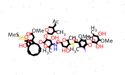 COC(=O)CC1=C2/C(=C/CSSSC)[C@](O)(C#C/C=C\C#C[C@@H]2OC2OC(C)C(NOC3CC(O)C(SC(=O)c4c(C)c(I)c(OC5OC(C)C(O)C(OC)C5O)c(C)c4OC)C(C)O3)C(O)C2OC2CC(C)C(CC(C)=O)CO2)CC1=O